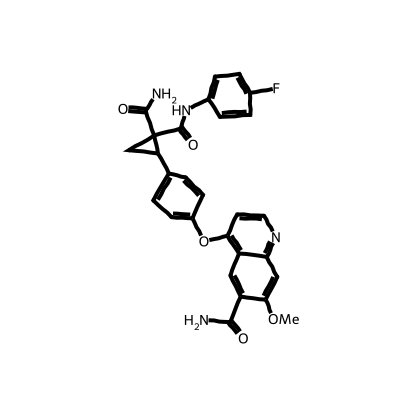 COc1cc2nccc(Oc3ccc(C4CC4(C(N)=O)C(=O)Nc4ccc(F)cc4)cc3)c2cc1C(N)=O